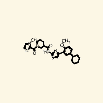 COc1ccc(C2CCCCC2)cc1-c1csc(NC(=O)C2CCCN(C(=O)c3nccn3C)C2)n1